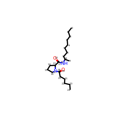 CCCCCCCCC(C)NC(=O)C1CCCN1C(=O)CCCCC